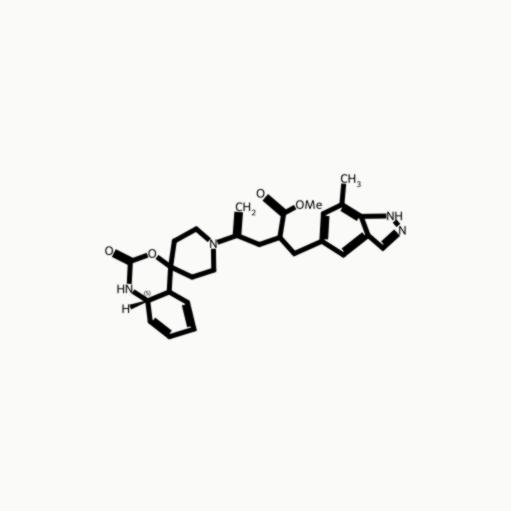 C=C(CC(Cc1cc(C)c2[nH]ncc2c1)C(=O)OC)N1CCC2(CC1)OC(=O)N[C@H]1C=CC=CC12